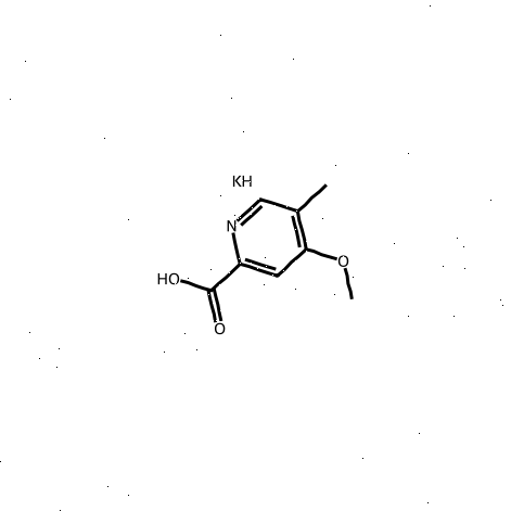 COc1cc(C(=O)O)ncc1C.[KH]